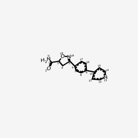 NC(=O)C1CC(c2ccc(-c3ccncc3)cc2)=NO1